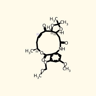 COCOc1cc(OC)cc2c1C(=O)O[C@@H](C)C/C=C\C(=O)[C@H]1OC(C)(C)O[C@H]1CC(=O)N2